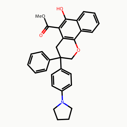 COC(=O)c1c2c(c3ccccc3c1O)OCC(c1ccccc1)(c1ccc(N3CCCC3)cc1)C2